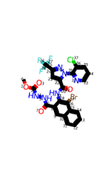 COC(=O)NNC(=O)c1cc2ccccc2c(Br)c1NC(=O)c1cc(C(F)(F)F)nn1-c1ncccc1Cl